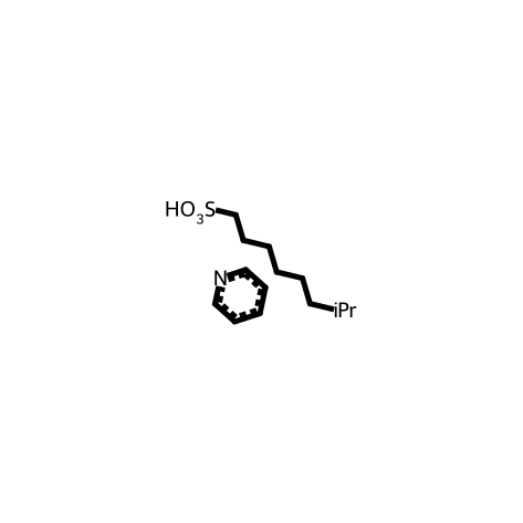 CC(C)CCCCCCS(=O)(=O)O.c1ccncc1